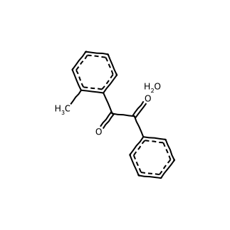 Cc1ccccc1C(=O)C(=O)c1ccccc1.O